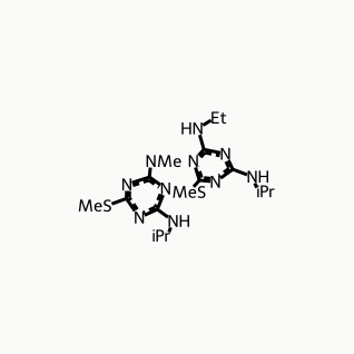 CCNc1nc(NC(C)C)nc(SC)n1.CNc1nc(NC(C)C)nc(SC)n1